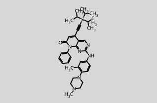 Cc1cc(Nc2ncc3c(C#C[Si](C(C)C)(C(C)C)C(C)C)cc(=O)n(-c4ccccc4)c3n2)ccc1N1CCN(C)CC1